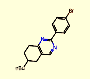 CCCCC1CCc2nc(-c3ccc(Br)cc3)ncc2C1